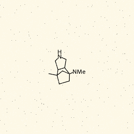 CNC12CCC(C)(C1)C1CNCC12